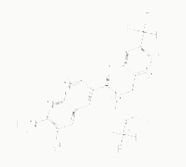 CO[C@@H](CN(Cc1ccc(C(F)(F)F)cn1)C(=O)c1cnc2nc(N)c(Br)cc2c1)C(F)(F)F